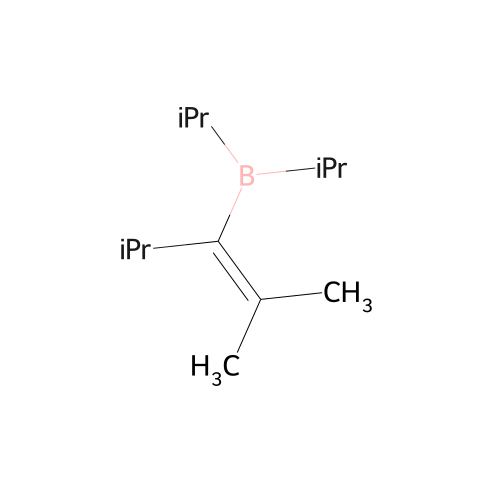 CC(C)=C(B(C(C)C)C(C)C)C(C)C